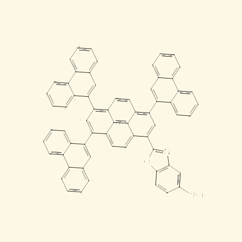 CC(C)(C)c1ccc2oc(-c3cc(-c4cc5ccccc5c5ccccc45)c4ccc5c(-c6cc7ccccc7c7ccccc67)cc(-c6cc7ccccc7c7ccccc67)c6ccc3c4c65)nc2c1